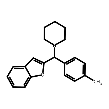 Cc1ccc(C(c2cc3ccccc3o2)N2CCCCC2)cc1